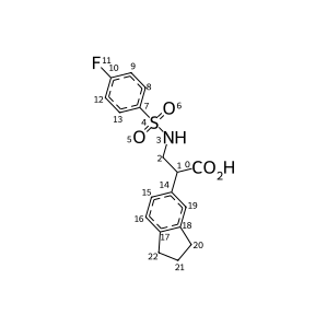 O=C(O)C(CNS(=O)(=O)c1ccc(F)cc1)c1ccc2c(c1)CCC2